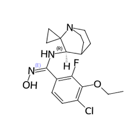 CCOc1c(Cl)ccc(/C(=N\O)N[C@@H]2C3CCN(CC3)C23CC3)c1F